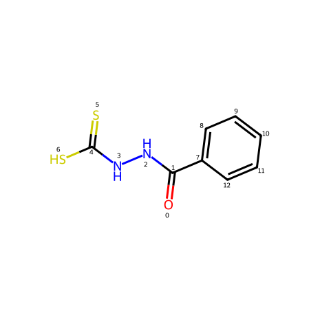 O=C(NNC(=S)S)c1ccccc1